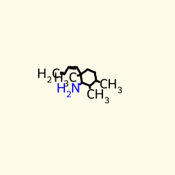 C=C/C=C\C1(C)CCC(C)C(C)C1N